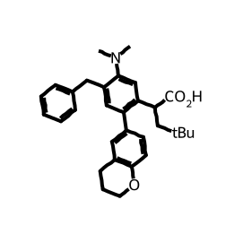 CN(C)c1cc(C(CC(C)(C)C)C(=O)O)c(-c2ccc3c(c2)CCCO3)cc1Cc1ccccc1